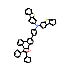 c1ccc(-c2oc3c4ccc(-c5ccc(N(c6ccc7c(c6)sc6ccccc67)c6ccc7c(c6)sc6ccccc67)cc5)cc4c4ccccc4c3c2-c2ccccc2)cc1